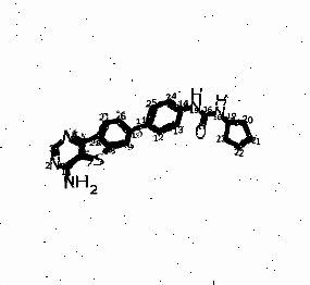 Nc1ncnc2c1sc1cc(-c3ccc(NC(=O)NC4CCCC4)cc3)ccc12